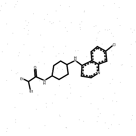 CCC(CC)C(=O)NC1CCC(Nc2ccnc3cc(Cl)ccc23)CC1